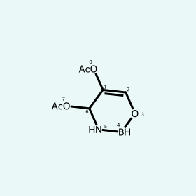 CC(=O)OC1=COBNC1OC(C)=O